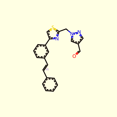 O=Cc1cnn(Cc2nc(-c3cccc(/C=C/c4ccccc4)c3)cs2)c1